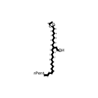 CCCCC/C=C\C/C=C\CCCCCCCCCC(CCO)CCCCCCCCC1OCCO1